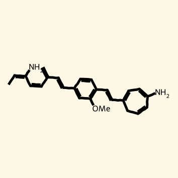 C=C(/C=C\C(N)=C/C)/C=C/c1ccc(/C=C/C2=CC=C(N)C=CC2)c(OC)c1